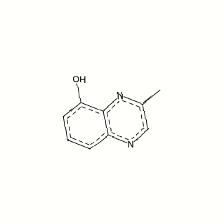 Cc1cnc2cccc(O)c2n1